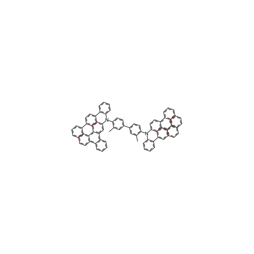 Cc1cc(-c2ccc(N(c3ccc4c5ccccc5c5ccccc5c4c3)c3ccccc3-c3ccc(-c4ccccc4)cc3)c(C)c2)ccc1N(c1ccc2c3ccccc3c3ccccc3c2c1)c1ccccc1-c1ccc(-c2ccccc2)cc1